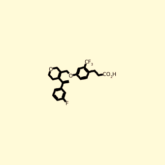 C=C(C1=C(COc2ccc(CCC(=O)O)c(C(F)(F)F)c2)COCC1)c1cccc(F)c1